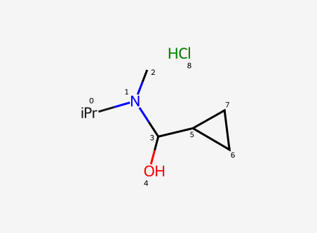 CC(C)N(C)C(O)C1CC1.Cl